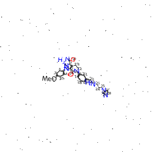 COc1ccc(-n2nc(C(N)=O)c3c2C(=O)N(c2cccc(CNCCCn4ccnc4)c2)CC3)cc1